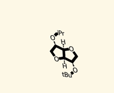 CC(C)O[C@H]1CO[C@H]2[C@@H]1OC[C@@H]2OC(C)(C)C